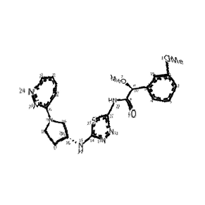 COc1cccc([C@H](OC)C(=O)Nc2nnc(N[C@@H]3CCN(c4cccnn4)C3)s2)c1